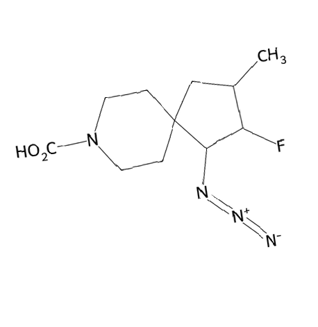 CC1CC2(CCN(C(=O)O)CC2)C(N=[N+]=[N-])C1F